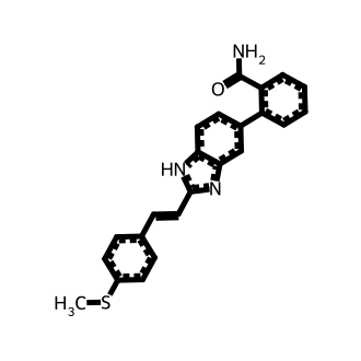 CSc1ccc(/C=C/c2nc3cc(-c4ccccc4C(N)=O)ccc3[nH]2)cc1